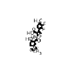 Cc1ccc(-c2csc(NC(=O)c3cc(S(C)(=O)=O)ccc3O)c2C(=O)O)c(F)c1F